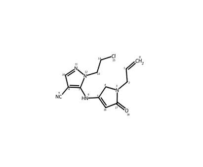 C=CCN1CC(Nc2c(C#N)cnn2CCCl)=CC1=O